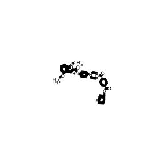 CCOc1cccc2c1cc(C(=O)Nc1ccc(N3CCN(C(=O)[C@H]4CC[C@H](C(=O)OCc5ccccc5)CC4)CC3)cc1)n2CC